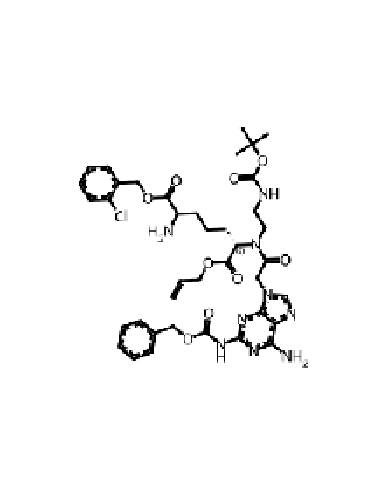 C=CCOC(=O)[C@H](CCCC(N)C(=O)OCc1ccccc1Cl)N(CCNC(=O)OC(C)(C)C)C(=O)Cn1cnc2c(N)nc(NC(=O)OCc3ccccc3)nc21